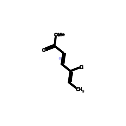 CC=C(Cl)/C=C/C(=O)OC